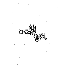 Cc1nc2nc(C3CCS(=O)(=O)N(c4cnn(C5CC5)c4)C3)nc(-c3ccc(Cl)cc3F)c2nc1C